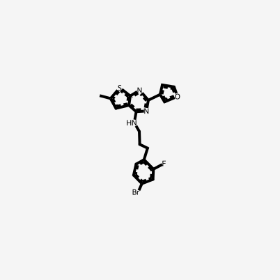 Cc1cc2c(NCCCc3ccc(Br)cc3F)nc(-c3ccoc3)nc2s1